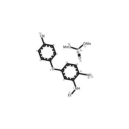 CCNc1cc(Oc2ccc(C#N)cc2)ccc1[N+](=O)[O-].CO[PH](=O)OC